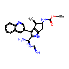 C=C1c2c([nH]c(/C(N)=N\C=N)c2-c2cnc3ccccc3c2)CC1NC(=O)OC(C)(C)C